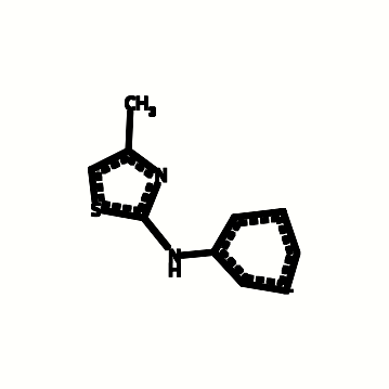 Cc1csc(Nc2c[c]ccc2)n1